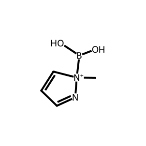 C[N+]1(B(O)O)C=CC=N1